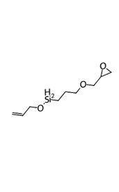 C=CCO[SiH2]CCCOCC1CO1